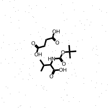 CC(C)C(NC(=O)OC(C)(C)C)C(=O)O.O=C(O)CCC(=O)O